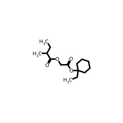 CCC(C)C(=O)OCC(=O)OC1(CC)CCCCC1